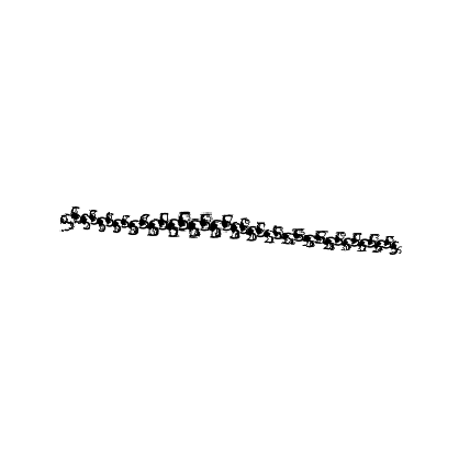 S=S=S=S=S=S=S=S=S=S=S=S=S=S=S=S=S=S=S=S=S=S=S=S=S=S=S=S=S=S=S=S=S=S=S=S=S